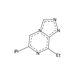 CCc1nc(C(C)C)cn2cnnc12